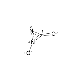 O=c1n[n+]1[O-]